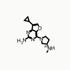 CN[C@@H]1CCN(c2nc(N)nc3c(C4CC4)coc23)C1